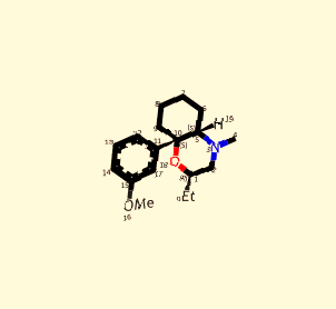 CC[C@@H]1CN(C)[C@H]2CCCC[C@@]2(c2cccc(OC)c2)O1